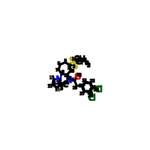 CSC1(SC)CCCC(N2CCCC2)C(N(C)C(=O)Cc2ccc(Cl)c(Cl)c2)C1